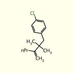 C=C(CCC)C(C)(C)Cc1ccc(Cl)cc1